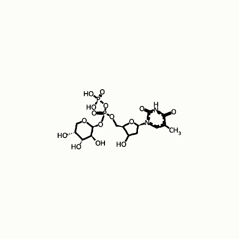 Cc1cn([C@H]2CC(O)[C@@H](COP(=O)(O[C@@H]3OC[C@@H](O)[C@@H](O)[C@@H]3O)OP(=O)(O)O)O2)c(=O)[nH]c1=O